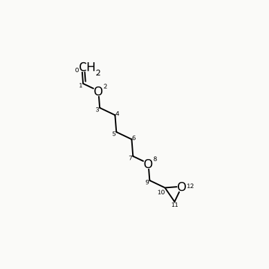 C=COCCCCCOCC1CO1